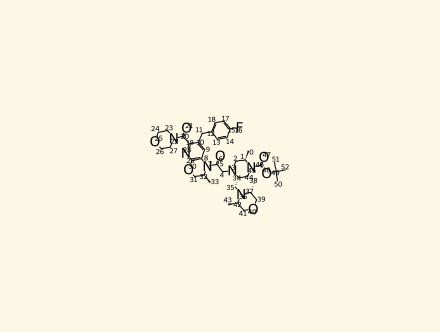 C[C@@H]1CN(CC(=O)N2c3cc(Cc4ccc(F)cc4)c(C(=O)N4CCOCC4)nc3OC[C@@H]2C)[C@@H](CN2[C@H](C)COC[C@H]2C)CN1C(=O)OC(C)(C)C